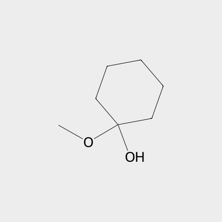 COC1(O)CCCCC1